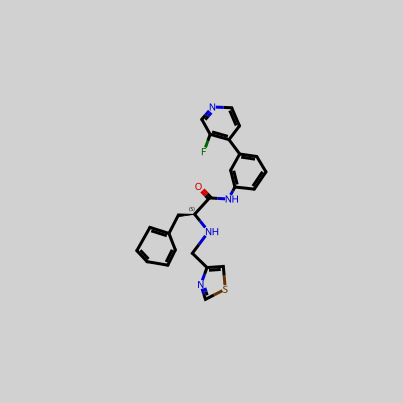 O=C(Nc1cccc(-c2ccncc2F)c1)[C@H](Cc1ccccc1)NCc1cscn1